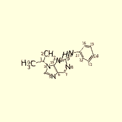 CC(C)n1cnc2cnc(Nc3cc[c]cc3)nc21